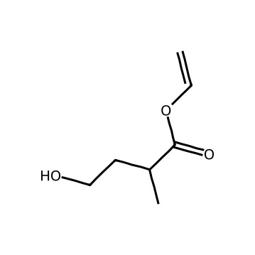 C=COC(=O)C(C)CCO